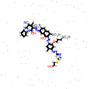 Cc1cc(N=Nc2c(S(=O)(=O)O)cc3cc(S(=O)(=O)O)c(N=Nc4c(C)c(C#N)c5nc6ccccc6n5c4O)cc3c2O)c(OCCCS(=O)(=O)O)cc1N=Nc1nnc(SCCO)s1